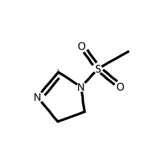 CS(=O)(=O)N1[C]=NCC1